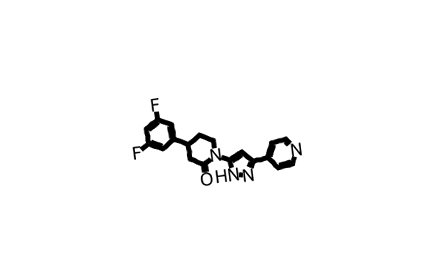 O=C1CC(c2cc(F)cc(F)c2)CCN1c1cc(-c2ccncc2)n[nH]1